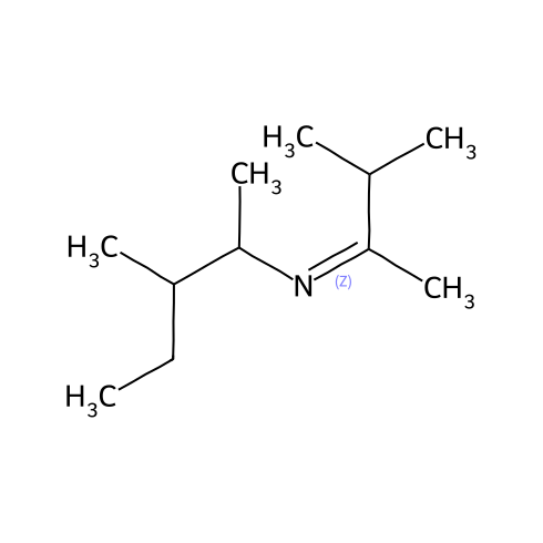 CCC(C)C(C)/N=C(/C)C(C)C